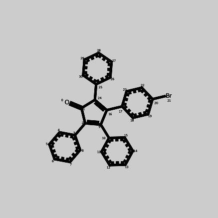 O=C1C(c2ccccc2)=C(c2ccccc2)C(c2ccc(Br)cc2)=C1c1ccccc1